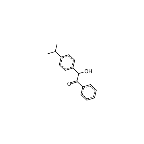 CC(C)c1ccc(C(O)C(=O)c2ccccc2)cc1